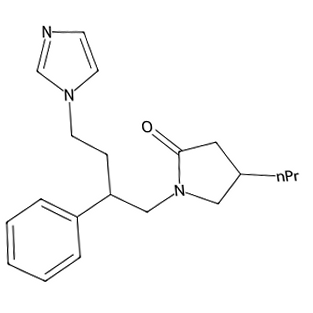 CCCC1CC(=O)N(CC(CCn2ccnc2)c2ccccc2)C1